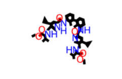 CCOC(=O)C(NCc1cnc(C(=O)Nc2cccc(-c3cccc(NC(=O)c4cc(C5CC5)c(CNC(C(=O)OCC)C(C)C)cn4)c3C)c2C)cc1C1CC1)C(C)C